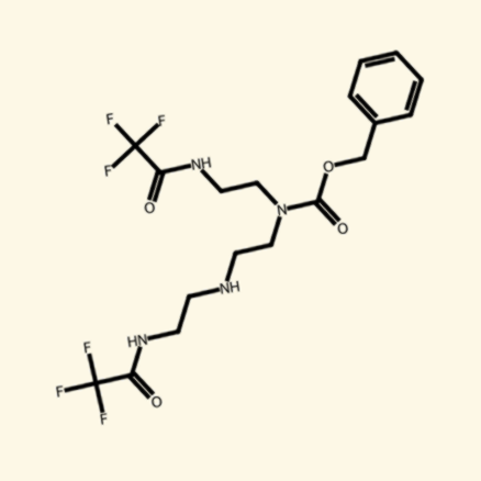 O=C(OCc1ccccc1)N(CCNCCNC(=O)C(F)(F)F)CCNC(=O)C(F)(F)F